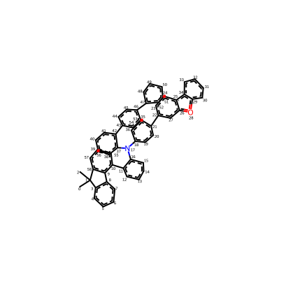 CC1(C)c2ccccc2-c2c(-c3ccccc3N(c3ccc(-c4ccc5c(c4)oc4ccccc45)cc3)c3ccccc3-c3ccc(-c4ccccc4)cc3)cccc21